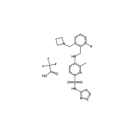 Cc1nc(S(=O)(=O)Nc2ccsn2)ccc1NCc1c(F)cccc1CN1CCC1.O=C(O)C(F)(F)F